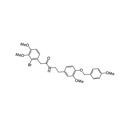 COc1ccc(COc2ccc(CCNC(=O)Cc3ccc(OC)c(OC)c3Br)cc2OC)cc1